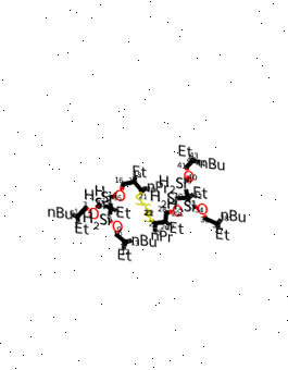 CCCCC(CC)CO[SiH2]C(CC)([SiH2]OCC(CC)CCCC)[SiH2]OCC(CC)C(CCC)SSSC(CCC)C(CC)CO[SiH2]C(CC)([SiH2]OCC(CC)CCCC)[SiH2]OCC(CC)CCCC